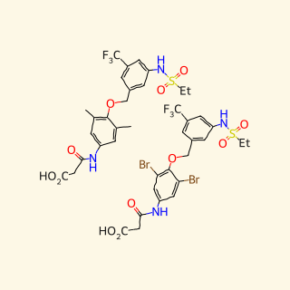 CCS(=O)(=O)Nc1cc(COc2c(Br)cc(NC(=O)CC(=O)O)cc2Br)cc(C(F)(F)F)c1.CCS(=O)(=O)Nc1cc(COc2c(C)cc(NC(=O)CC(=O)O)cc2C)cc(C(F)(F)F)c1